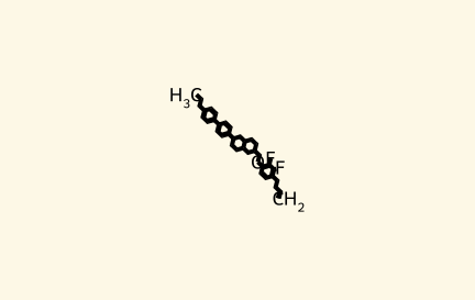 C=CCCc1ccc(OCC2CCC3CC(c4ccc(-c5ccc(CCC)cc5)cc4)CCC3C2)c(F)c1F